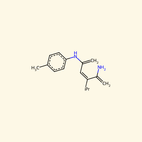 C=C(/C=C(\C(=C)N)C(C)C)Nc1ccc(C)cc1